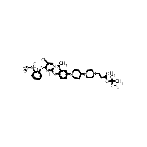 COc1cc(N2CCC(N3CCN(CCC(=O)OC(C)(C)C)CC3)CC2)ccc1Nc1ncc(Cl)c(Nc2ccccc2N(C)[SH]=O)n1